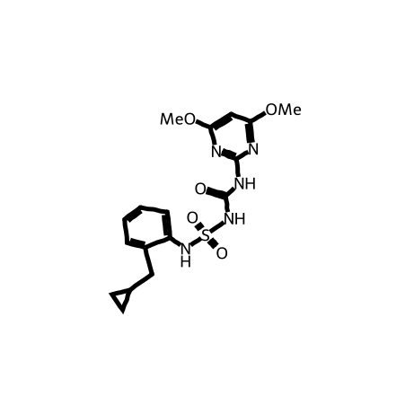 COc1cc(OC)nc(NC(=O)NS(=O)(=O)Nc2ccccc2CC2CC2)n1